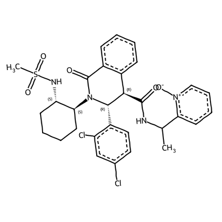 CC(NC(=O)[C@@H]1c2ccccc2C(=O)N([C@H]2CCCC[C@@H]2NS(C)(=O)=O)[C@H]1c1ccc(Cl)cc1Cl)c1cccc[n+]1[O-]